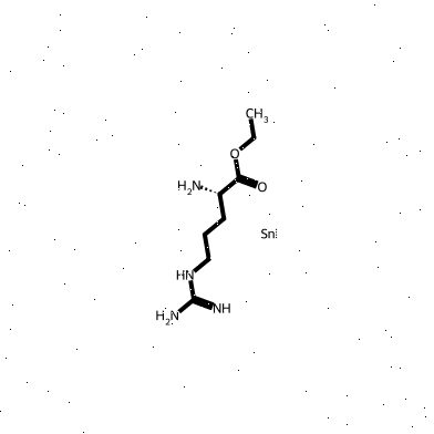 CCOC(=O)[C@@H](N)CCCNC(=N)N.[Sn]